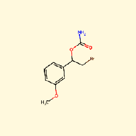 COc1cccc(C(CBr)OC(N)=O)c1